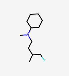 CC(CF)CCN(C)C1CCCCC1